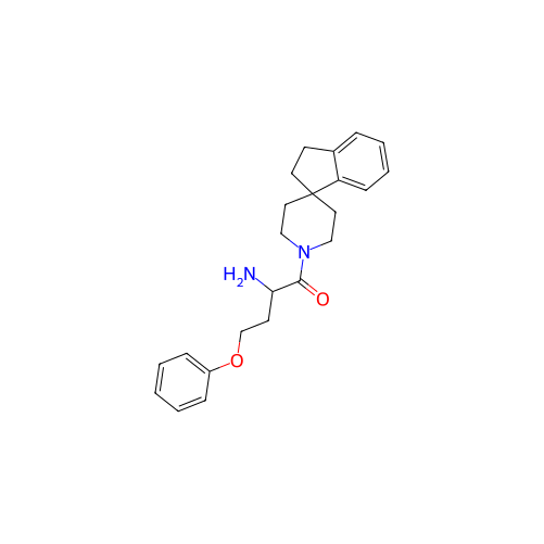 NC(CCOc1ccccc1)C(=O)N1CCC2(CCc3ccccc32)CC1